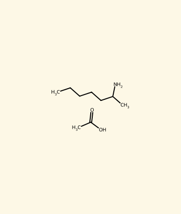 CC(=O)O.CCCCCC(C)N